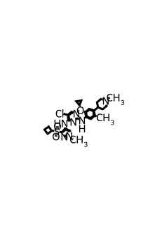 Cc1cc(Nc2ncc(Cl)c(Nc3cn(C)nc3S(=O)(=O)C3CCC3)n2)c(OC2CC2)cc1C1CCN(C)CC1